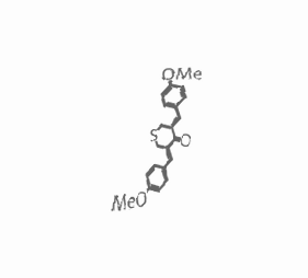 COc1ccc(C=C2CSCC(=Cc3ccc(OC)cc3)C2=O)cc1